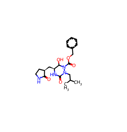 CC(C)CN1C(=O)N[C@@H](C[C@@H]2CCNC2=O)C(O)N1C(=O)OCc1ccccc1